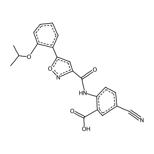 CC(C)Oc1ccccc1-c1cc(C(=O)Nc2ccc(C#N)cc2C(=O)O)no1